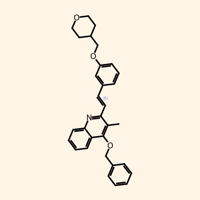 Cc1c(/C=C/c2cccc(OCC3CCOCC3)c2)nc2ccccc2c1OCc1ccccc1